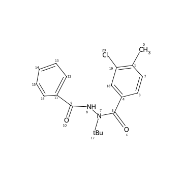 Cc1ccc(C(=O)N(NC(=O)c2ccccc2)C(C)(C)C)cc1Cl